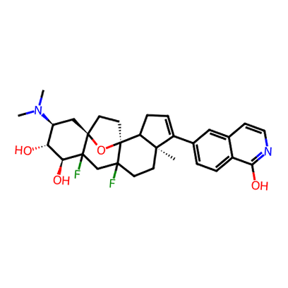 CN(C)[C@H]1C[C@@]23CC[C@]4(O2)C2CC=C(c5ccc6c(O)nccc6c5)[C@@]2(C)CCC4(F)CC3(F)[C@@H](O)[C@@H]1O